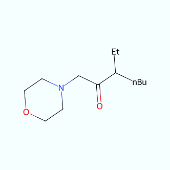 CCCCC(CC)C(=O)CN1CCOCC1